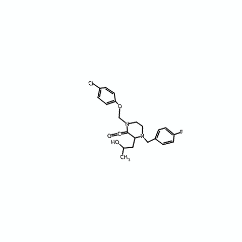 CC(O)CC1C(=C=O)N(COc2ccc(Cl)cc2)CCN1Cc1ccc(F)cc1